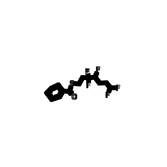 O=C(SCCC(F)(F)C(F)CCC(F)F)c1ccccc1